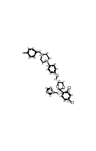 Cc1ccc(CN2CCN(c3ccc(OC[C@@H]4CO[C@@](Cn5cncn5)(c5ccc(Cl)cc5Cl)O4)cc3)CC2)cc1